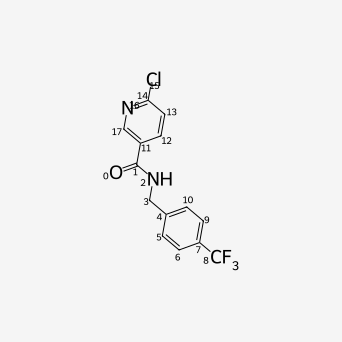 O=C(NCc1ccc(C(F)(F)F)cc1)c1ccc(Cl)nc1